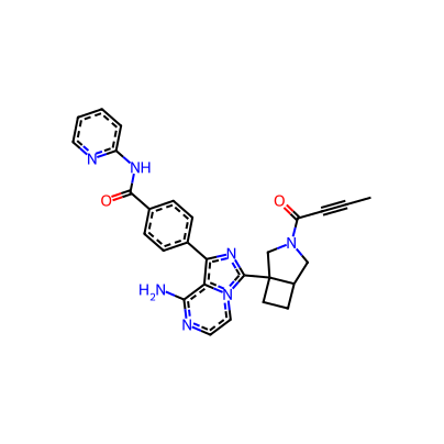 CC#CC(=O)N1CC2CCC2(c2nc(-c3ccc(C(=O)Nc4ccccn4)cc3)c3c(N)nccn23)C1